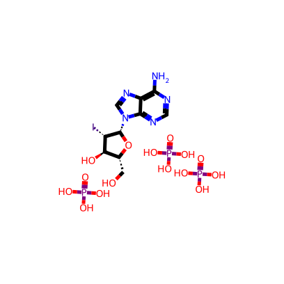 Nc1ncnc2c1ncn2[C@@H]1O[C@H](CO)[C@@H](O)[C@@H]1I.O=P(O)(O)O.O=P(O)(O)O.O=P(O)(O)O